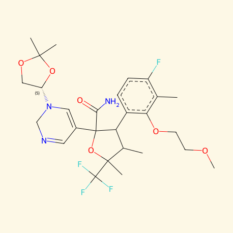 COCCOc1c(C2C(C)C(C)(C(F)(F)F)OC2(C(N)=O)C2=CN([C@@H]3COC(C)(C)O3)CN=C2)ccc(F)c1C